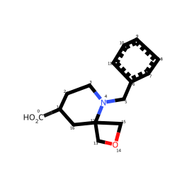 O=C(O)C1CCN(Cc2ccccc2)C2(COC2)C1